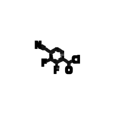 N#Cc1ccc(C(=O)Cl)c(F)c1F